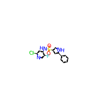 O=S(=O)(Nc1cc(Cl)ncc1F)c1c[nH]c(-c2ccccc2)c1